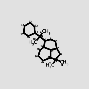 CC1(C)CC2CCC(C(C)(C)C3CCCCC3)C3CCCC1C23